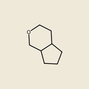 C1CC2CCOCC2C1